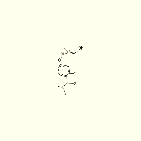 CN(C)C(=O)c1ccc(O[C@@H]2C[C@H]2CO)cc1Cl